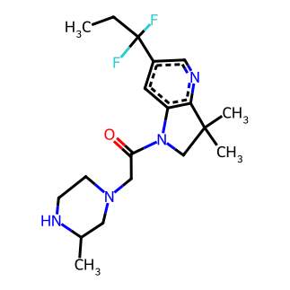 CCC(F)(F)c1cnc2c(c1)N(C(=O)CN1CCNC(C)C1)CC2(C)C